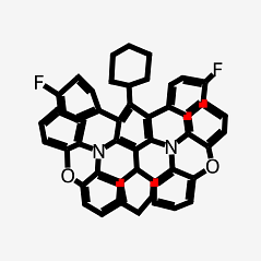 Fc1ccc(-c2c(C3CCCCC3)c(-c3ccc(F)cc3)c(N3c4ccccc4Oc4ccccc43)c(C3CCCCC3)c2N2c3ccccc3Oc3ccccc32)cc1